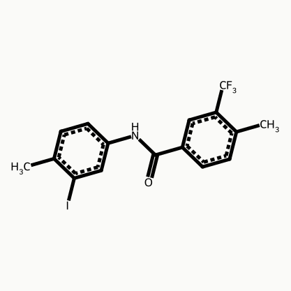 Cc1ccc(NC(=O)c2ccc(C)c(C(F)(F)F)c2)cc1I